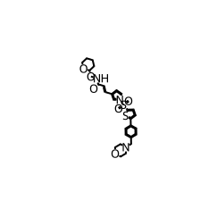 O=C(C=Cc1ccn(S(=O)(=O)c2ccc(-c3ccc(CN4CCOCC4)cc3)s2)c1)NOC1CCCCO1